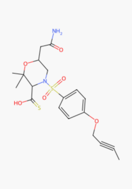 CC#CCOc1ccc(S(=O)(=O)N2CC(CC(N)=O)OC(C)(C)C2C(O)=S)cc1